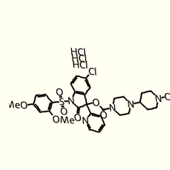 COc1ccc(S(=O)(=O)N2C(=O)C(OC(=O)N3CCN(C4CCN(C)CC4)CC3)(c3ccccn3)c3cc(Cl)ccc32)c(OC)c1.Cl.Cl.Cl